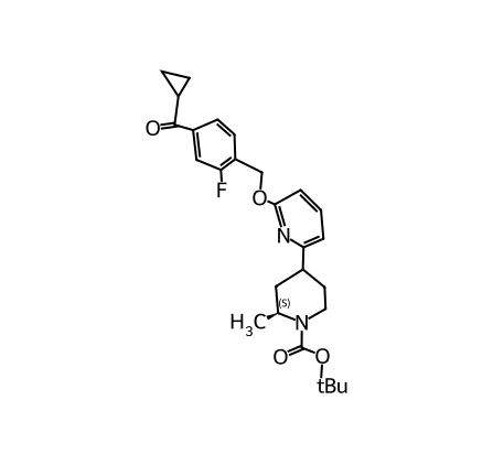 C[C@H]1CC(c2cccc(OCc3ccc(C(=O)C4CC4)cc3F)n2)CCN1C(=O)OC(C)(C)C